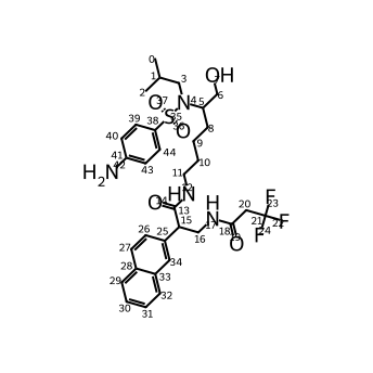 CC(C)CN(C(CO)CCCCNC(=O)C(CNC(=O)CC(F)(F)F)c1ccc2ccccc2c1)S(=O)(=O)c1ccc(N)cc1